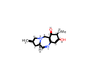 C=C1C[C@H]2C=NC3=C(CN2C1)C(=O)C(OC)C(O)=C3